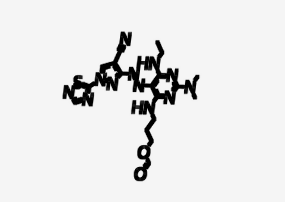 CCNc1nc(N(C)C)nc(NCCCOC=O)c1N=Nc1nn(-c2ncns2)cc1C#N